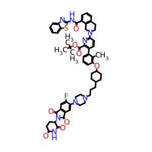 Cc1c(OC2CCC(CCCN3CCN(c4cc5c(cc4F)C(=O)N(C4CCC(=O)NC4=O)C5=O)CC3)CC2)cccc1-c1ccc(N2CCc3cccc(C(=O)Nc4nc5ccccc5s4)c3C2)nc1C(=O)OC(C)(C)C